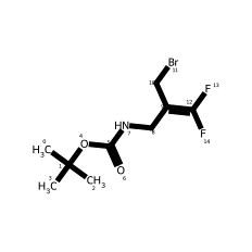 CC(C)(C)OC(=O)NCC(CBr)=C(F)F